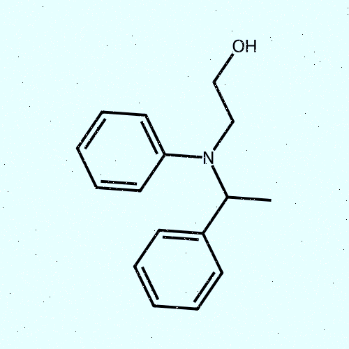 CC(c1ccccc1)N(CCO)c1ccccc1